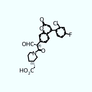 O=C[C@H](C(=O)N1CCC[C@@H](CC(=O)O)C1)c1ccc2c(-c3ccc(F)cc3Cl)cc(=O)oc2c1